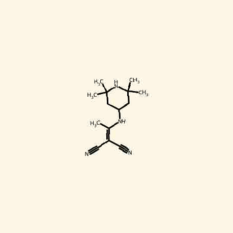 CC(NC1CC(C)(C)NC(C)(C)C1)=C(C#N)C#N